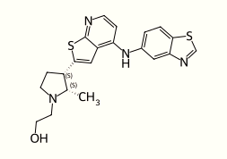 C[C@H]1[C@@H](c2cc3c(Nc4ccc5scnc5c4)ccnc3s2)CCN1CCO